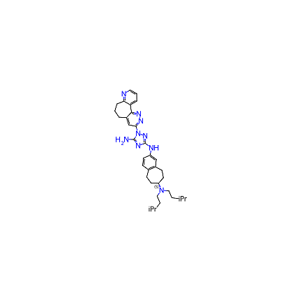 CC(C)CCN(CCC(C)C)[C@H]1CCc2ccc(Nc3nc(N)n(-c4cc5c(nn4)-c4cccnc4CCC5)n3)cc2CC1